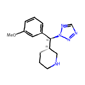 COc1cccc([C@H]([C@H]2CCCNC2)n2ncnn2)c1